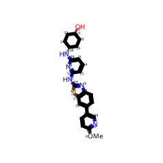 COc1ccc(-c2ccc3nc(Nc4cccc(N[C@H]5CC[C@H](O)CC5)n4)sc3c2)cn1